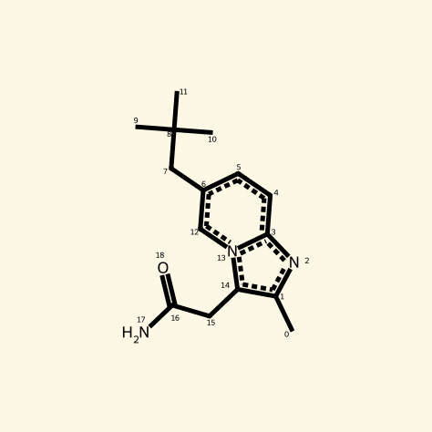 Cc1nc2ccc(CC(C)(C)C)cn2c1CC(N)=O